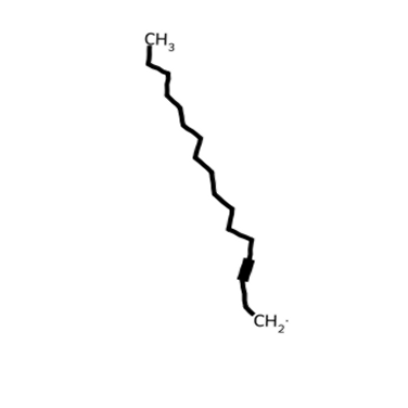 [CH2]CC#CCCCCCCCCCCCCC